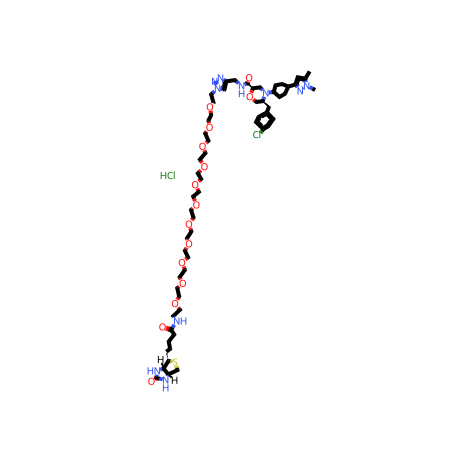 Cc1cc(C2CCC(N3C[C@H](C(=O)NCc4cn(CCOCCOCCOCCOCCOCCOCCOCCOCCOCCOCCOCCNC(=O)CCCC[C@@H]5SC[C@@H]6NC(=O)N[C@@H]65)nn4)OC[C@@H]3Cc3ccc(Cl)cc3)CC2)nn1C.Cl